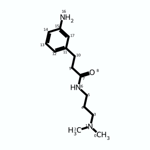 CN(C)CCCNC(=O)CCc1cccc(N)c1